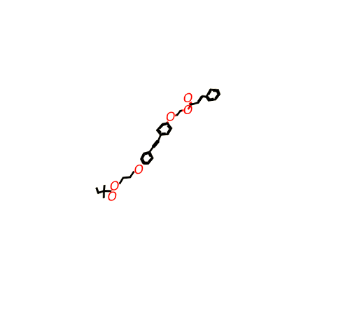 CCC(C)(C)C(=O)OCCCCOc1ccc(C#Cc2ccc(OCCOC(=O)C=Cc3ccccc3)cc2)cc1